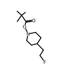 CC(C)(C)C(=O)ON1CCC(CCF)CC1